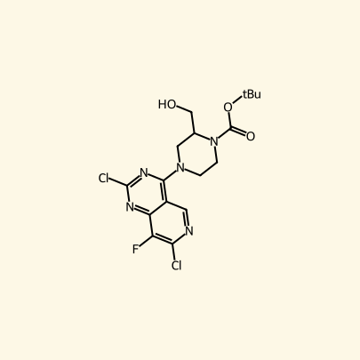 CC(C)(C)OC(=O)N1CCN(c2nc(Cl)nc3c(F)c(Cl)ncc23)CC1CO